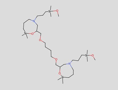 CO[Si](C)(C)CCCN1CCC[Si](C)(C)OC(COCCCCOCC2CN(CCC[Si](C)(C)OC)CCC[Si](C)(C)O2)C1